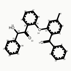 Cc1ccc(C(=O)c2ccccc2)c(Oc2ccccc2C(=O)C(O)c2ccccc2)c1